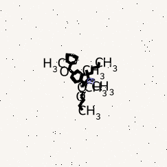 C/C=C1/C(C)(CCCC)c2cc(C(=O)c3ccccc3C)ccc2[C@]1(C)OCOCCC